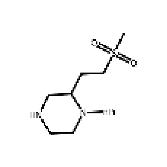 [CH2]CCN1CCNCC1CCS(C)(=O)=O